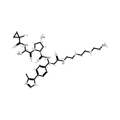 Cc1ncsc1-c1ccc([C@H](CC(=O)NCCOCCOCCN)NC(=O)[C@@H]2C[C@@H](O)CN2C(=O)C(NC(=O)C2(F)CC2)C(C)(C)C)cc1